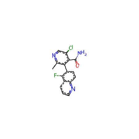 Cc1ncc(Cl)c(C(N)=O)c1-c1ccc2ncccc2c1F